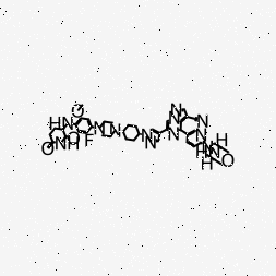 COc1cc(N2CCN([C@H]3CC[C@H](n4cc(-c5cn6ncc(C#N)c6c(-c6ccc(N7C[C@H]8COC[C@@H](C7)N8)nc6)n5)cn4)CC3)CC2)c(F)cc1NC1CCC(=O)NC1=O